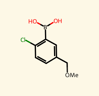 COCc1ccc(Cl)c(B(O)O)c1